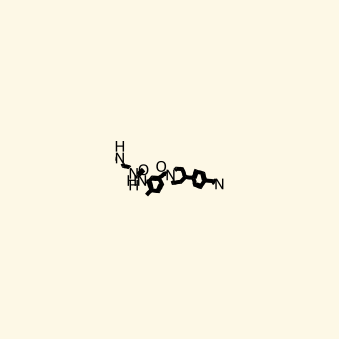 CNCCNC(=O)Nc1cc(C(=O)N2CCC(c3ccc(C#N)cc3)CC2)ccc1C